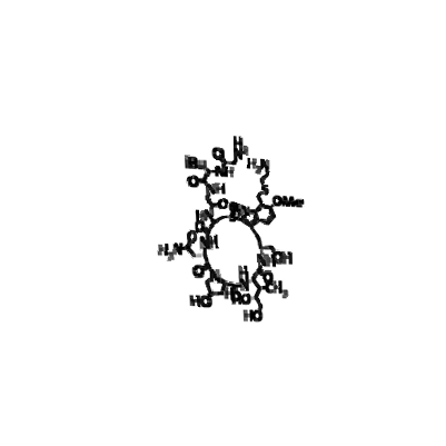 CC[C@H](C)[C@@H](NC(=O)CN)C(=O)NCC(=O)N[C@H]1C[S+]([O-])c2[nH]c3c(CSCCN)c(OC)ccc3c2C[C@@H](CO)NC(=O)[C@H]([C@@H](C)[C@@H](O)CO)NC(=O)[C@H]2C[C@@H](O)CN2C(=O)[C@H](CC(N)=O)NC1=O